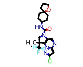 C[C@@]1(C(F)(F)F)CN(C(=O)NC2CCC3(CCCO3)CC2)c2cnc3cc(Cl)nn3c21